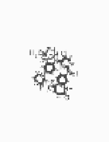 CCN(c1ccc2c(c1)NC(=O)CCC2(C)C)c1ncc(Cl)c(Nc2ccc(N3CCOCC3)cc2S(=O)(=O)N(C)C)n1